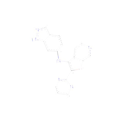 c1cnc(-c2oc3cnccc3c2Nc2ccc3cn[nH]c3c2)nc1